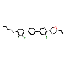 C=CC1CCC(c2ccc(-c3ccc(-c4ccc(CCCCC)c(F)c4F)cc3)cc2F)CO1